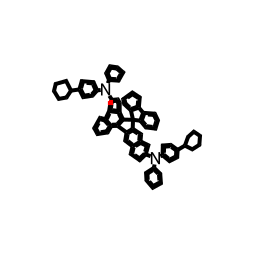 c1ccc(N(c2ccc(C3CCCCC3)cc2)c2ccc3cc4c(cc3c2)C2(c3ccccc3-c3ccccc32)c2c-4c3ccccc3c3cc(N(c4ccccc4)c4ccc(C5CCCCC5)cc4)ccc23)cc1